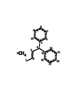 C.CC=CC(c1ccccc1)c1ccccc1